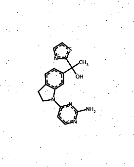 CC(O)(c1ccc2c(c1)N(c1ccnc(N)n1)CC2)c1nccs1